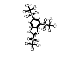 O=S(=O)(c1cc(S(=O)(=O)C(Cl)(Cl)Cl)c2nc(S(=O)(=O)C(Cl)(Cl)Cl)sc2c1)C(Cl)(Cl)Cl